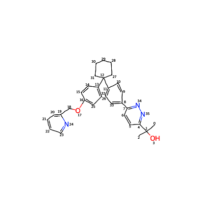 CC(C)(O)c1ccc(-c2ccc(C3(c4ccc(OCc5ccccn5)cc4)CCCCC3)cc2)nn1